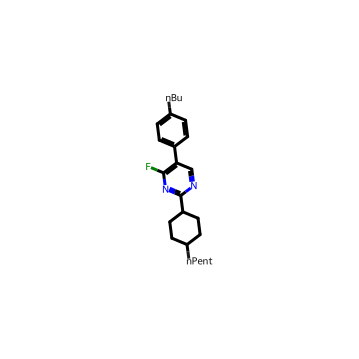 CCCCCC1CCC(c2ncc(-c3ccc(CCCC)cc3)c(F)n2)CC1